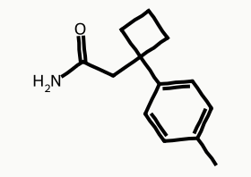 Cc1ccc(C2(CC(N)=O)CCC2)cc1